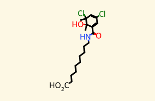 CC1(Cl)C=C(Cl)C=C(C(=O)NCCCCCCCCCC(=O)O)C1(C)O